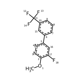 COc1nnc(-c2cccc(C(F)(F)F)c2)cc1F